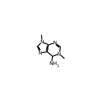 CN1C=Nc2c(ncn2C)C1N